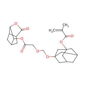 C=C(C)C(=O)OC12CC3CC(CC(OCOCC(=O)OC4C5CC6C(=O)OC4C6C5)(C3)C1)C2